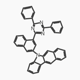 c1ccc(-c2nc(-c3ccccc3)nc(-c3cc(-n4c5ccccc5c5cc6ccccc6cc54)cc4ccccc34)n2)cc1